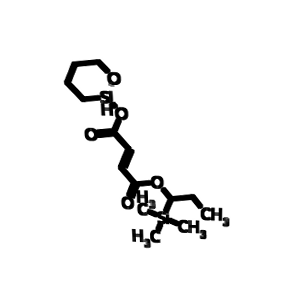 CCC(OC(=O)C=CC(=O)O[SiH]1CCCCO1)[Si](C)(C)C